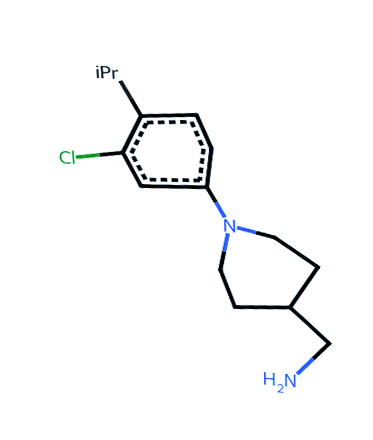 CC(C)c1ccc(N2CCC(CN)CC2)cc1Cl